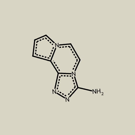 Nc1nnc2c3cccn3ccn12